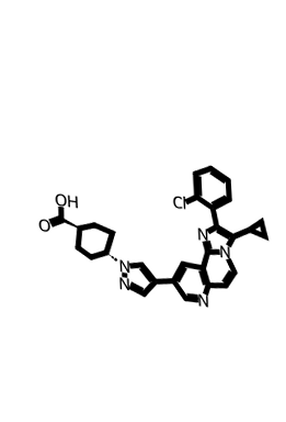 O=C(O)[C@H]1CC[C@H](n2cc(-c3cnc4ccn5c(C6CC6)c(-c6ccccc6Cl)nc5c4c3)cn2)CC1